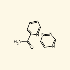 NC(=O)c1ccccn1.c1cnncn1